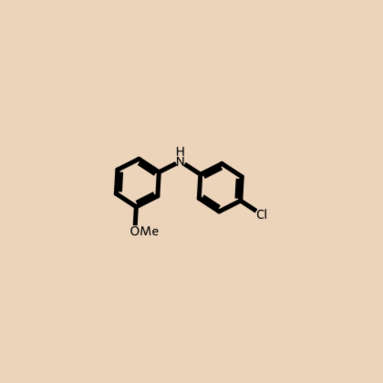 COc1cccc(Nc2ccc(Cl)cc2)c1